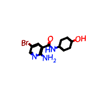 Nc1ncc(Br)cc1C(=O)NC1CCC(O)CC1